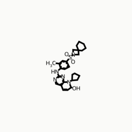 Cc1cc(S(=O)(=O)N2CC3(CCCCC3)C2)ccc1Nc1ncc2c(n1)N(C1CCCC1)C(O)C=C2